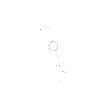 CC(C)(C)OC(=O)N1CCC(c2ccc(B3OC(C)(C)C(C)(C)O3)cc2F)CC1